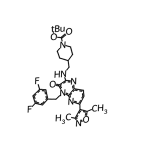 Cc1noc(C)c1-c1ccc2nc(NCC3CCN(C(=O)OC(C)(C)C)CC3)c(=O)n(Cc3cc(F)cc(F)c3)c2n1